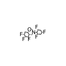 Fc1cc(F)c(N2COc3cc(F)c(F)c(F)c3C2)c(F)c1